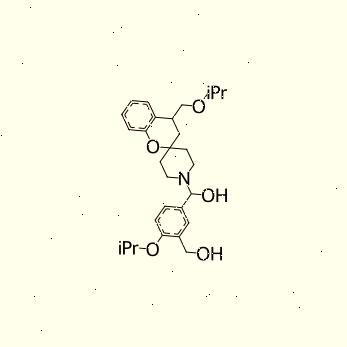 CC(C)OCC1CC2(CCN(C(O)c3ccc(OC(C)C)c(CO)c3)CC2)Oc2ccccc21